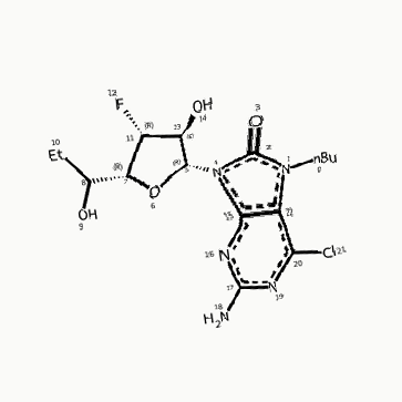 CCCCn1c(=O)n([C@@H]2O[C@H](C(O)CC)[C@H](F)[C@H]2O)c2nc(N)nc(Cl)c21